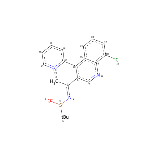 C/C(=N\[S+]([O-])C(C)(C)C)c1cnc2c(Cl)cccc2c1-c1ccccn1